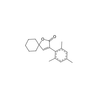 Cc1cc(C)c(C2=CC3(CCCCC3)OC2=O)c(C)c1